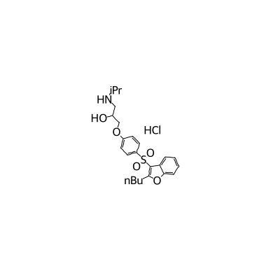 CCCCc1oc2ccccc2c1S(=O)(=O)c1ccc(OCC(O)CNC(C)C)cc1.Cl